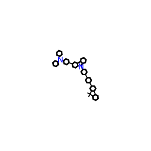 CC1(C)c2ccccc2-c2ccc(-c3ccc(-c4ccc(-n5c6ccccc6c6cc(-c7ccc(N(c8ccccc8)c8ccccc8)cc7)ccc65)cc4)cc3)cc21